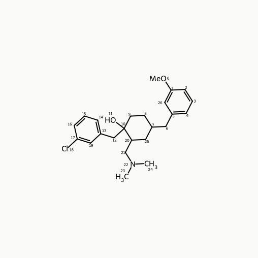 COc1cccc(CC2CCC(O)(Cc3cccc(Cl)c3)C(CN(C)C)C2)c1